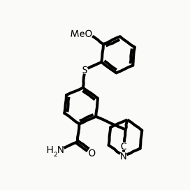 COc1ccccc1Sc1ccc(C(N)=O)c(C2CN3CCC2CC3)c1